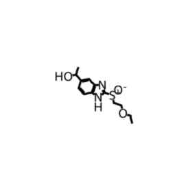 CCOCC[S+]([O-])c1nc2cc(C(C)O)ccc2[nH]1